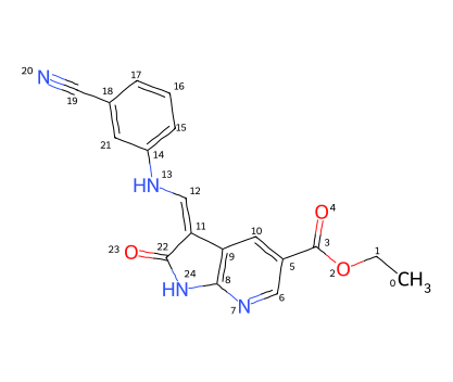 CCOC(=O)c1cnc2c(c1)/C(=C/Nc1cccc(C#N)c1)C(=O)N2